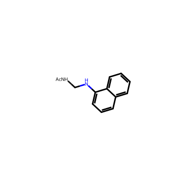 CC(=O)NCNc1cccc2ccccc12